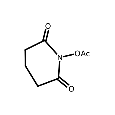 CC(=O)ON1C(=O)CCCC1=O